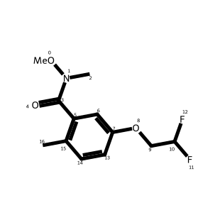 CON(C)C(=O)c1cc(OCC(F)F)ccc1C